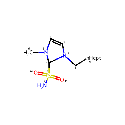 CCCCCCCCN1C=CN(C)C1S(N)(=O)=O